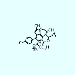 Cc1c([C@H](OC(C)(C)C)C(=O)O)c(-c2ccc(Cl)cc2)c2cc(C)n3c2c1N(C(=O)C1CC1)[C@@H](C)C3